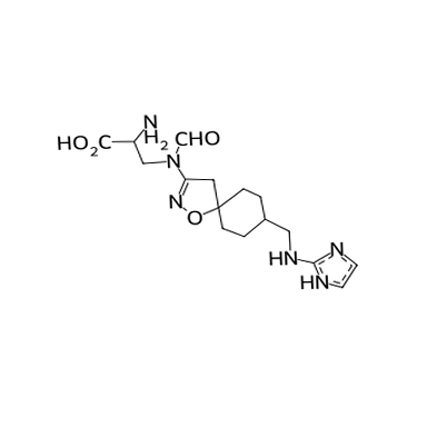 NC(CN(C=O)C1=NOC2(CCC(CNc3ncc[nH]3)CC2)C1)C(=O)O